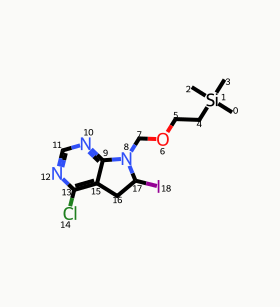 C[Si](C)(C)CCOCN1c2ncnc(Cl)c2CC1I